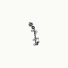 Cc1nnc(-c2ccc(CNC(=O)COCCCNC(=O)CCN3C(=O)C=CC3=O)cc2)nn1